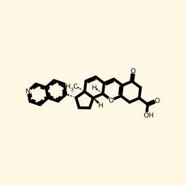 C[C@]12C=CC3=CC4=C(CC(C(=O)O)CC4=O)O[C@H]3[C@@H]1CC[C@@H]2c1ccc2cnccc2c1